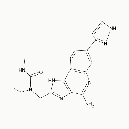 CCN(Cc1nc2c(N)nc3cc(-c4cc[nH]n4)ccc3c2[nH]1)C(=O)NC